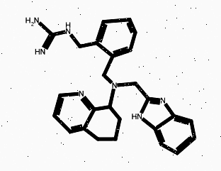 N=C(N)NCc1ccccc1CN(Cc1nc2ccccc2[nH]1)C1CCCc2cccnc21